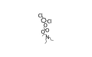 CCCN(CCC)CC(C)OC(=O)COc1ccc(Cl)cc1Cl